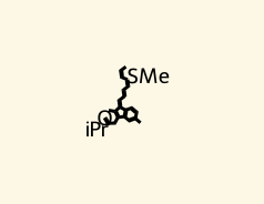 C\C=C/C(=C\C=C\C=C1\C(C)=C(CC(=O)C(C)C)c2cc(C)ccc21)SC